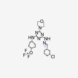 FC(F)(F)Oc1ccc(Nc2nc(N/N=C/c3cccc(Cl)c3)nc(N3CCOCC3)n2)cc1